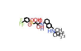 CC(C)(C)NCc1ccc2c(c1)CCC[C@H]2NC(=O)[C@H](O)[C@H](O)CS(=O)(=O)c1cccc(C(F)(F)F)c1